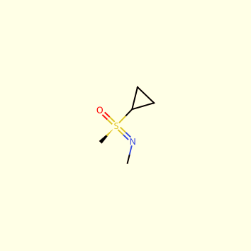 CN=[S@](C)(=O)C1CC1